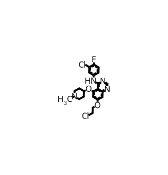 CN1CCC(Oc2cc(OCCCl)cc3ncnc(Nc4ccc(F)c(Cl)c4)c23)CC1